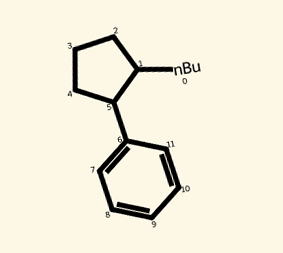 CCCCC1CCCC1c1ccccc1